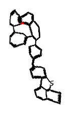 c1ccc(-c2ccccc2-c2c(-c3ccc(-c4ccc5c(c4)Sc4cccc6cccc-5c46)cc3)ccc3ccccc23)cc1